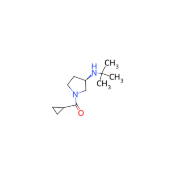 CC(C)(C)N[C@@H]1CCN(C(=O)C2CC2)C1